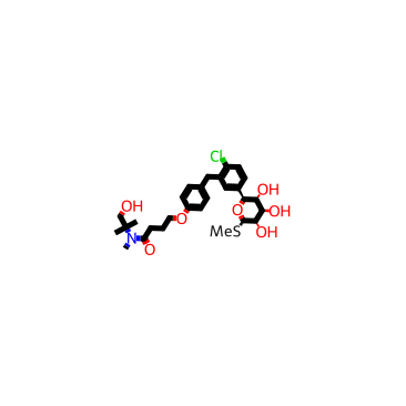 CS[C@H]1O[C@@H](c2ccc(Cl)c(Cc3ccc(OCCCC(=O)N(C)C(C)(C)CO)cc3)c2)[C@H](O)[C@@H](O)[C@@H]1O